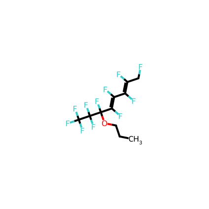 CCCOC(F)(/C(F)=C(F)/C(F)=C(\F)CF)C(F)(F)C(F)(F)F